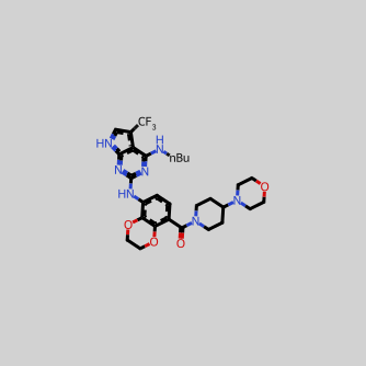 CCCCNc1nc(Nc2ccc(C(=O)N3CCC(N4CCOCC4)CC3)c3c2OCCO3)nc2[nH]cc(C(F)(F)F)c12